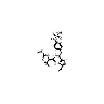 CCc1csc([C@H](Cc2ccc(NS(=O)(=O)O)cc2)NC(=O)C(NC(=O)OC)C(C)C)n1